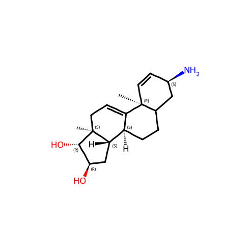 C[C@]12CC=C3[C@@H](CCC4C[C@H](N)C=C[C@]34C)[C@@H]1C[C@@H](O)[C@@H]2O